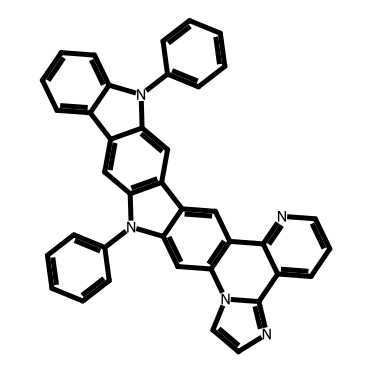 c1ccc(-n2c3ccccc3c3cc4c(cc32)c2cc3c5ncccc5c5nccn5c3cc2n4-c2ccccc2)cc1